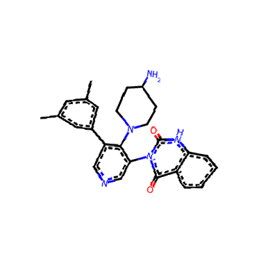 Cc1cc(C)cc(-c2cncc(-n3c(=O)[nH]c4ccccc4c3=O)c2N2CCC(N)CC2)c1